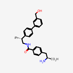 CC(C)[C@@H](CNC(=O)c1ccc(C[C@H](N)C(=O)O)cc1)c1ccc(-c2cccc(CO)c2)cc1